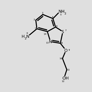 Nc1ccc(N)c2sc(OCCO)nc12